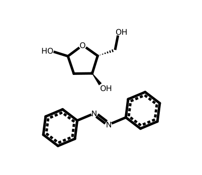 OC[C@H]1OC(O)C[C@@H]1O.c1ccc(N=Nc2ccccc2)cc1